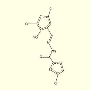 O=C(N/N=C/c1cc(Cl)cc(Cl)c1O)c1ccc(Cl)s1